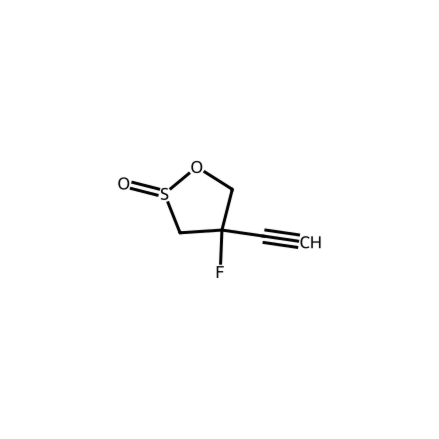 C#CC1(F)COS(=O)C1